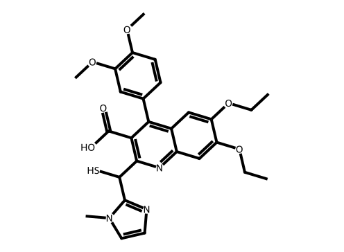 CCOc1cc2nc(C(S)c3nccn3C)c(C(=O)O)c(-c3ccc(OC)c(OC)c3)c2cc1OCC